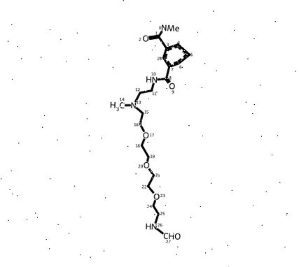 CNC(=O)c1cccc(C(=O)NCCN(C)CCOCCOCCOCCNC=O)c1